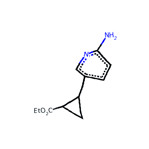 CCOC(=O)C1CC1c1ccc(N)nc1